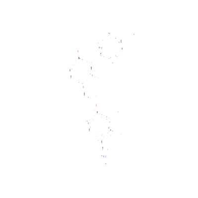 CCc1ccc(-c2c([O])cc(F)c(COc3ccc(C#N)c(F)c3F)c2F)cc1